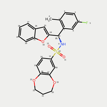 Cc1ccc(F)cc1[C@@H](NS(=O)(=O)c1ccc2c(c1)OCCCO2)c1cc2ccccc2o1